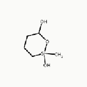 C[Si]1(O)CCCC(O)O1